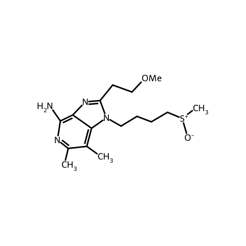 COCCc1nc2c(N)nc(C)c(C)c2n1CCCC[S+](C)[O-]